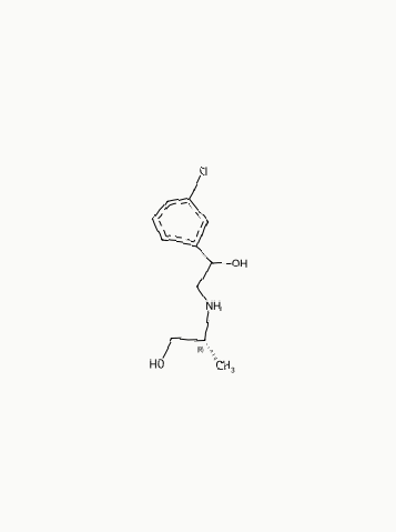 C[C@H](CO)NCC(O)c1cccc(Cl)c1